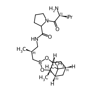 CC(C)[C@H](N)C(=O)N1CCCC1C(=O)NC[C@H](C)CB1O[C@@H]2C[C@@H]3C[C@@H](C3(C)C)[C@]2(C)O1